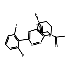 CC(=O)[C@@]12CC#C[C@@H](CC1)c1cc(-c3c(F)cccc3F)nnc12